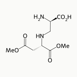 COC(=O)C[C@H](NC[C@@H](N)C(=O)O)C(=O)OC